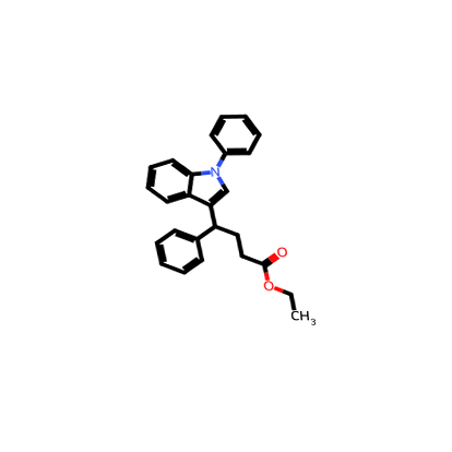 CCOC(=O)CCC(c1ccccc1)c1cn(-c2ccccc2)c2ccccc12